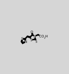 O=C(O)CN1C(=O)/C(=C/c2nccs2)SC1=S